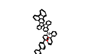 c1ccc(-c2ccc(-c3ccc(N(c4ccc5c(c4)-c4ccccc4C54c5ccccc5-c5c4cc4c6c(cccc56)-c5ccccc5-4)c4ccccc4-c4ccccc4)cc3)cc2)cc1